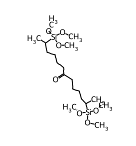 CO[Si](OC)(OC)C(C)CCCCC(=O)CCCCC(C)[Si](OC)(OC)OC